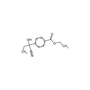 CCOC(=O)c1ccc(C(O)(C#N)CC)cc1